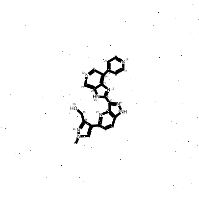 Cn1cc(-c2ccc3[nH]nc(-c4nc5c(-c6ccncc6)cncc5[nH]4)c3n2)c(CO)n1